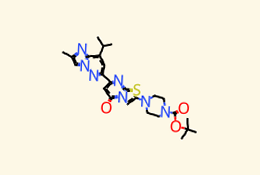 Cc1cn2nc(-c3cc(=O)n4cc(N5CCN(C(=O)OC(C)(C)C)CC5)sc4n3)cc(C(C)C)c2n1